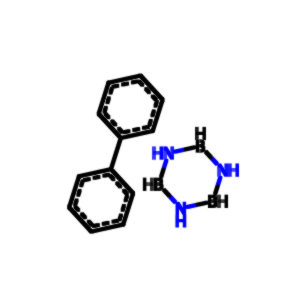 B1NBNBN1.c1ccc(-c2ccccc2)cc1